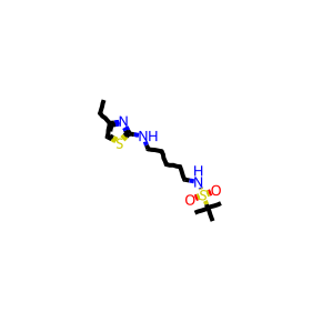 CCc1csc(NCCCCCNS(=O)(=O)C(C)(C)C)n1